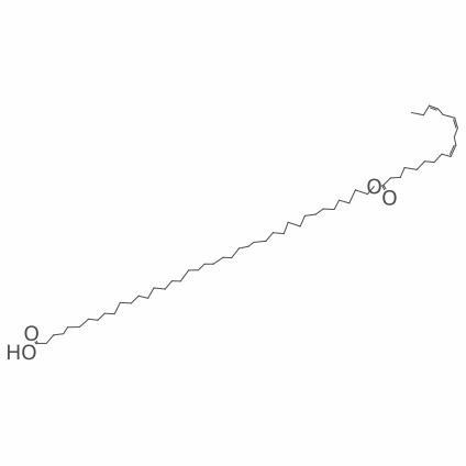 CC/C=C\C/C=C\C/C=C\CCCCCCCC(=O)OCCCCCCCCCCCCCCCCCCCCCCCCCCCCCCCCCCCCCCCC(=O)O